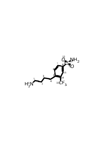 NCCCCc1ccc(S(N)(=O)=O)cc1C(F)(F)F